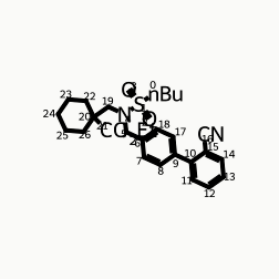 CCCCS(=O)(=O)N(Cc1ccc(-c2ccccc2C#N)cc1)CC1(C(=O)OCC)CCCCC1